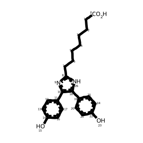 O=C(O)CCCCCCCc1nc(-c2ccc(O)cc2)c(-c2ccc(O)cc2)[nH]1